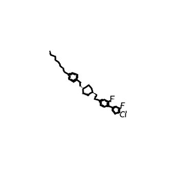 CCCCCCCCc1ccc(CC[C@H]2CC[C@H](CCc3ccc(-c4ccc(Cl)c(F)c4)c(F)c3)CC2)cc1